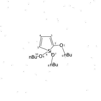 CCCCOC1=CC=C[Si]1(OCCCC)OCCCC